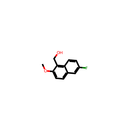 COc1ccc2cc(F)ccc2c1CO